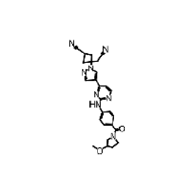 COC1CCN(C(=O)c2ccc(Nc3nccc(-c4cnn(C5(CC#N)CC(C#N)C5)c4)n3)cc2)C1